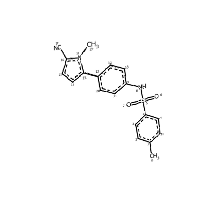 Cc1ccc(S(=O)(=O)Nc2ccc(-c3ccc(C#N)n3C)cc2)cc1